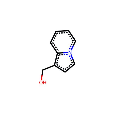 OCc1ccn2ccccc12